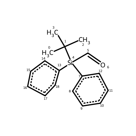 CC(C)(C)[Si](C=O)(c1ccccc1)c1ccccc1